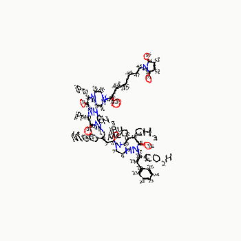 CC[C@H](C)[C@@H](C(CC(=O)N1CCC[C@H]1[C@H](OC)[C@@H](C)C(=O)N[C@@H](Cc1ccccc1)C(=O)O)OC)N(C)C(=O)[C@@H](NC(=O)[C@H](C(C)C)N1CCN(C(=O)CCCCCN2C(=O)C=CC2=O)CC1)C(C)C